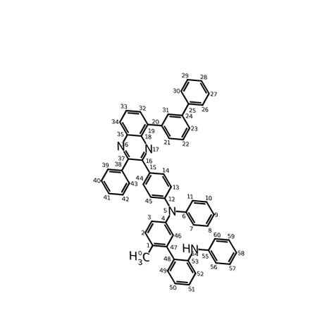 Cc1ccc(N(c2ccccc2)c2ccc(-c3nc4c(-c5cccc(-c6ccccc6)c5)cccc4nc3-c3ccccc3)cc2)cc1-c1ccccc1Nc1ccccc1